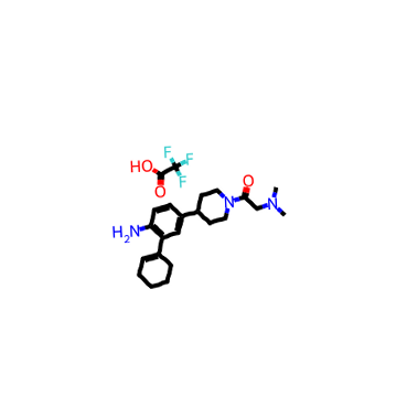 CN(C)CC(=O)N1CCC(c2ccc(N)c(C3=CCCCC3)c2)CC1.O=C(O)C(F)(F)F